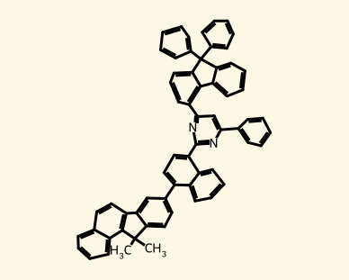 CC1(C)c2ccc(-c3ccc(-c4nc(-c5ccccc5)cc(-c5cccc6c5-c5ccccc5C6(c5ccccc5)c5ccccc5)n4)c4ccccc34)cc2-c2ccc3ccccc3c21